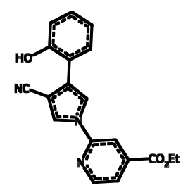 CCOC(=O)c1ccnc(-n2cc(C#N)c(-c3ccccc3O)c2)c1